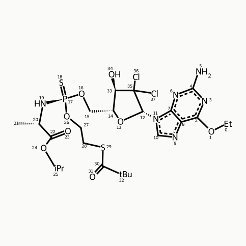 CCOc1nc(N)nc2c1ncn2[C@@H]1O[C@H](CO[P@](=S)(N[C@@H](C)C(=O)OC(C)C)OCCSC(=O)C(C)(C)C)[C@@H](O)C1(Cl)Cl